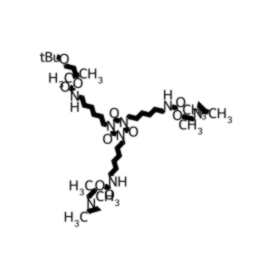 CC1CN1CC(C)(C)OC(=O)NCCCCCCn1c(=O)n(CCCCCCNC(=O)OC(C)(C)CCOC(C)(C)C)c(=O)n(CCCCCCNC(=O)OC(C)(C)CN2CC2C)c1=O